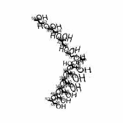 C=C(C)C(=O)O.CC(O)CCO.CC(O)CCO.CC(O)CCO.CC(O)CCO.CC(O)CCO.CC(O)CCO.CC(O)CCO.CC(O)CCO.CC(O)CCO.CC(O)CCO